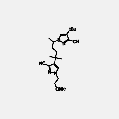 COCCn1cc(C(C)(C)CCC(C)n2cc(C(C)(C)C)c(C#N)n2)c(C#N)n1